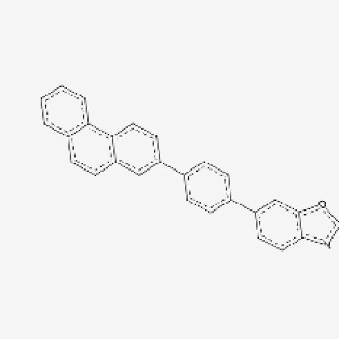 c1ccc2c(c1)ccc1cc(-c3ccc(-c4ccc5ncoc5c4)cc3)ccc12